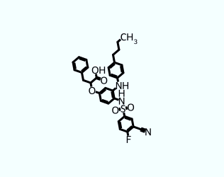 CCCCc1ccc(Nc2cc(OC(Cc3ccccc3)C(=O)O)ccc2NS(=O)(=O)c2ccc(F)c(C#N)c2)cc1